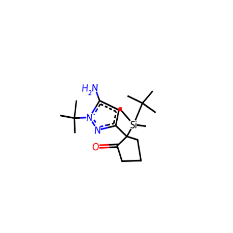 CC(C)(C)n1nc(C2([Si](C)(C)C(C)(C)C)CCCC2=O)cc1N